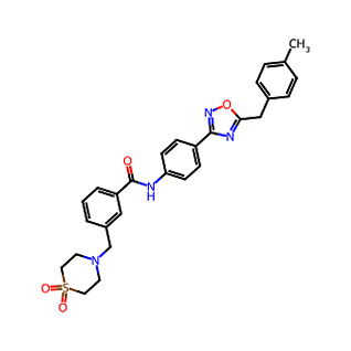 Cc1ccc(Cc2nc(-c3ccc(NC(=O)c4cccc(CN5CCS(=O)(=O)CC5)c4)cc3)no2)cc1